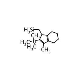 CC1=[C]([Ti]([CH3])([CH3])[CH3])C(C[SiH3])C2=C1CCCC2